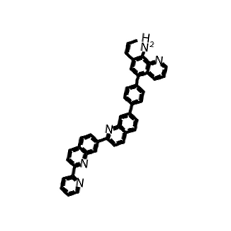 C/C=C\c1cc(-c2ccc(-c3ccc4ccc(-c5ccc6ccc(-c7ccccn7)nc6c5)nc4c3)cc2)c2cccnc2c1N